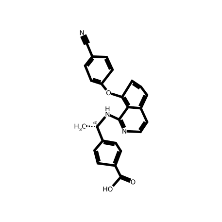 C[C@H](Nc1nccc2cccc(Oc3ccc(C#N)cc3)c12)c1ccc(C(=O)O)cc1